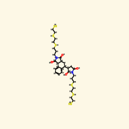 O=C1CC(C2CC3C(=O)N(CCCSCCSCCS)C(=O)C3c3ccccc32)C(=O)N1CCCSCCSCCS